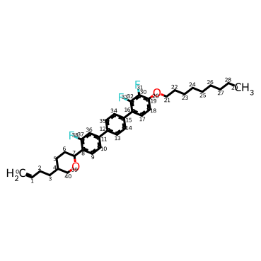 C=CCCC1CCC(c2ccc(-c3ccc(-c4ccc(OCCCCCCCCC)c(F)c4F)cc3)cc2F)OC1